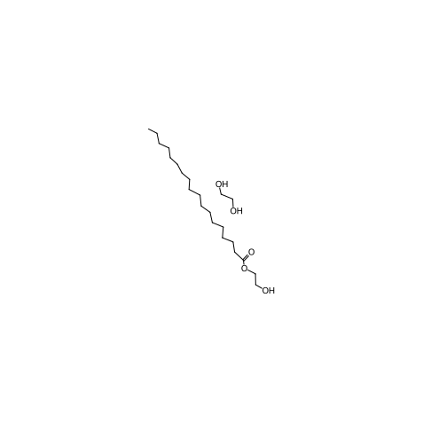 CCCCCCCCCCCCCCCCCC(=O)OCCO.OCCO